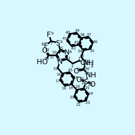 CCCc1nc(SC(F)F)c(C(=O)O)n1Cc1ccc(-c2ccccc2S(=O)(=O)NC(=O)NCc2cccc3ccccc23)cc1